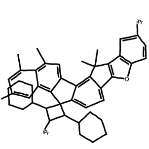 Cc1cc(C)c2c(C)cc3c(c2c1)C1(c2ccc4c(c2-3)C(C)(C)c2c-4oc3ccc(C(C)C)cc23)C(C2CCCCC2)C(C(C)C)C1C1CCCCC1